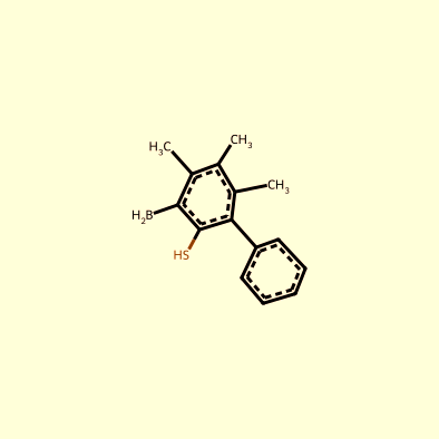 Bc1c(C)c(C)c(C)c(-c2ccccc2)c1S